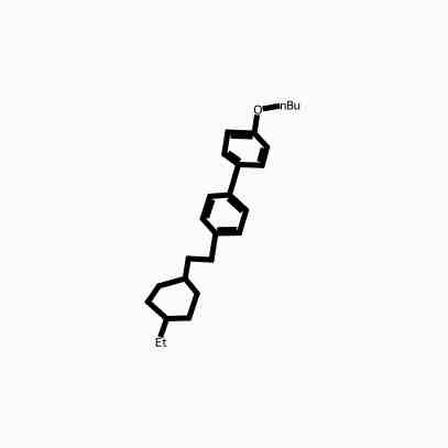 CCCCOc1ccc(-c2ccc(CCC3CCC(CC)CC3)cc2)cc1